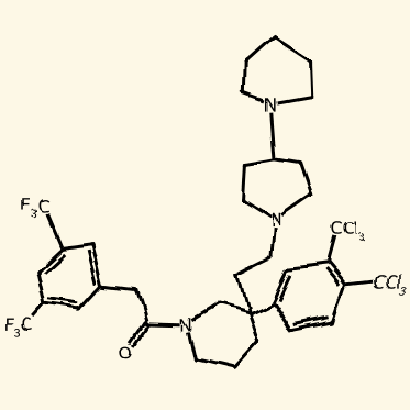 O=C(Cc1cc(C(F)(F)F)cc(C(F)(F)F)c1)N1CCCC(CCN2CCC(N3CCCCC3)CC2)(c2ccc(C(Cl)(Cl)Cl)c(C(Cl)(Cl)Cl)c2)C1